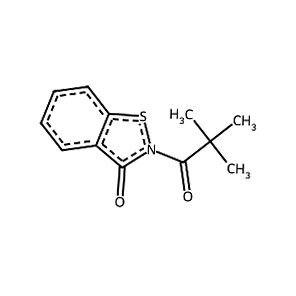 CC(C)(C)C(=O)n1sc2ccccc2c1=O